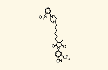 CC1=C(CCCCCCN2CCN(c3ccccc3[N+](=O)[O-])CC2)C(=O)N(c2ccc(C#N)c(C(F)(F)F)c2)C1=O